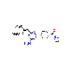 COc1cc2nc(N3CCC(C(=O)N4CCC4)CC3)nc(N)c2cc1OC